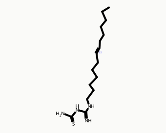 CCCCCC/C=C/CCCCCCNC(=N)NC(N)=S